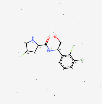 O=C(N[C@@H](CO)c1cccc(Cl)c1F)C1CC(F)CN1